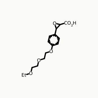 CCOCCOCCOc1ccc(C2OC2C(=O)O)cc1